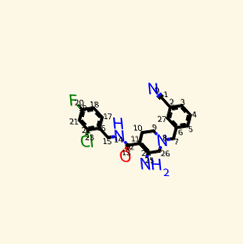 N#Cc1cccc(CN2CCC(C(=O)NCc3ccc(F)cc3Cl)=C(N)C2)c1